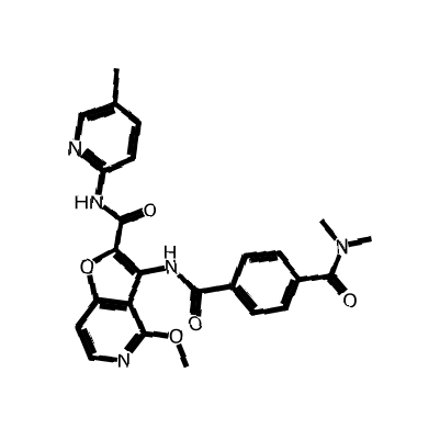 COc1nccc2oc(C(=O)Nc3ccc(C)cn3)c(NC(=O)c3ccc(C(=O)N(C)C)cc3)c12